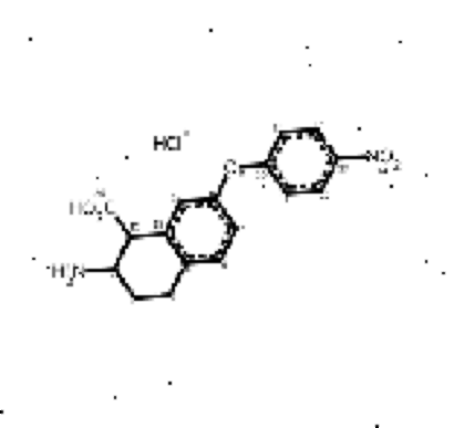 Cl.NC1CCc2ccc(Oc3ccc([N+](=O)[O-])cc3)cc2C1C(=O)O